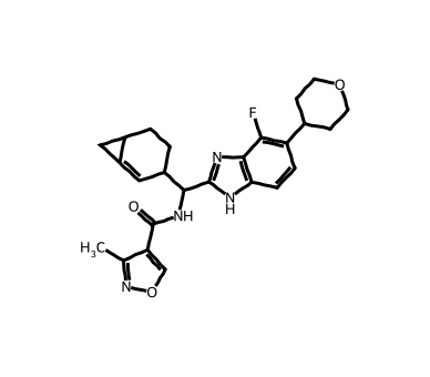 Cc1nocc1C(=O)NC(c1nc2c(F)c(C3CCOCC3)ccc2[nH]1)C1C=C2CC2CC1